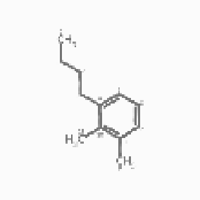 CCCCc1cccc(C)c1C